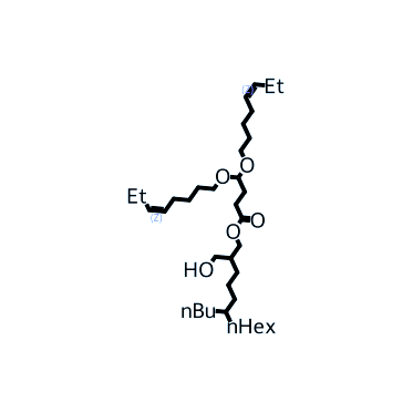 C[CH]CCCCC(CCCC)CCCC(CO)COC(=O)CCC(OCCCC/C=C\CC)OCCCC/C=C\CC